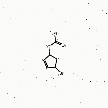 C[CH]C(=O)OC1C=CC(Br)C1